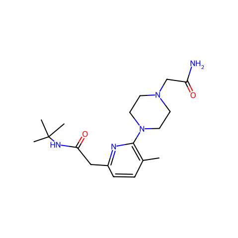 Cc1ccc(CC(=O)NC(C)(C)C)nc1N1CCN(CC(N)=O)CC1